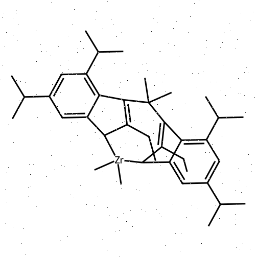 CCC1=C2c3c(C(C)C)cc(C(C)C)cc3[CH]1[Zr]([CH3])([CH3])[CH]1C(CC)=C(c3c(C(C)C)cc(C(C)C)cc31)C2(C)C